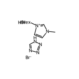 Br.CCCCCC[n+]1ccn(C)c1.[Br-].c1nnn[nH]1